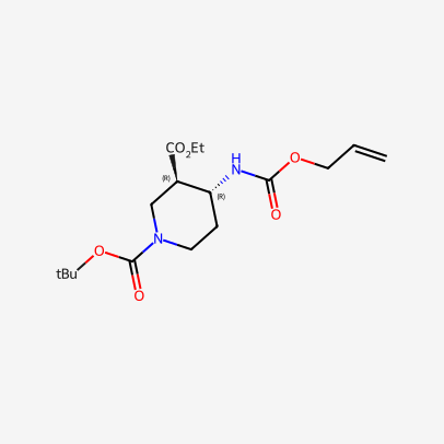 C=CCOC(=O)N[C@@H]1CCN(C(=O)OC(C)(C)C)C[C@H]1C(=O)OCC